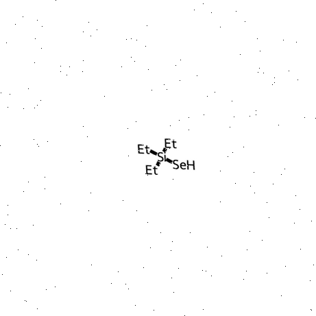 CC[Si]([SeH])(CC)CC